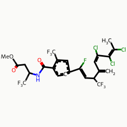 C=C(/C=C(Cl)\C(Cl)=C(/C)Cl)C(/C=C(\F)c1ccc(C(=O)NC(CC(=O)OC)C(F)(F)F)c(C(F)(F)F)c1)C(F)(F)F